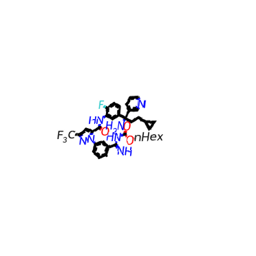 CCCCCCOC(=O)NC(=N)c1cccc(-n2nc(C(F)(F)F)cc2C(=O)Nc2cc(C(N)(CCC3CC3)c3cccnc3)ccc2F)c1